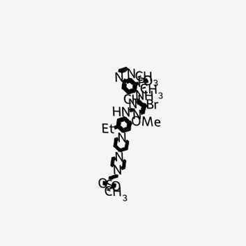 CCc1cc(Nc2ncc(Br)c(Nc3c(C)cc4nccnc4c3P(C)(C)=O)n2)c(OC)cc1N1CCC(N2CCN(CCS(C)(=O)=O)CC2)CC1